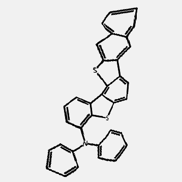 c1ccc(N(c2ccccc2)c2cccc3c2sc2ccc4c5cc6ccccc6cc5sc4c23)cc1